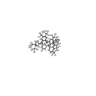 Cc1cc2c3c(c1)N(c1ccc(C(C)(C)C)c4c1-c1ccccc1C4(C)C)c1cc4c(cc1B3c1cc3c(cc1N2c1ccc2c(c1)C(C)(C)CCC2(C)C)C(C)(C)CCC3(C)C)C(C)(C)CC4(C)C